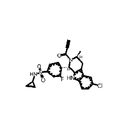 C#CC(=O)N1[C@@H](c2ccc(S(=O)(=O)NC3CC3)cc2F)c2[nH]c3ccc(Cl)cc3c2C[C@@H]1C